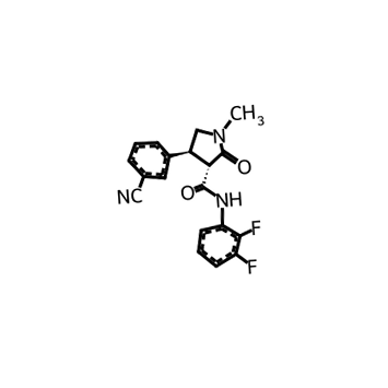 CN1C[C@H](c2cccc(C#N)c2)[C@@H](C(=O)Nc2cccc(F)c2F)C1=O